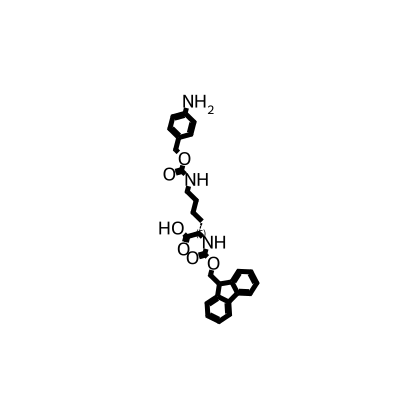 Nc1ccc(COC(=O)NCCCC[C@H](NC(=O)OCC2c3ccccc3-c3ccccc32)C(=O)O)cc1